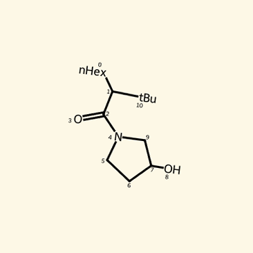 CCCCCCC(C(=O)N1CCC(O)C1)C(C)(C)C